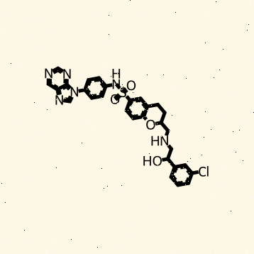 O=S(=O)(Nc1ccc(-n2cnc3cncnc32)cc1)c1ccc2c(c1)CCC(CNCC(O)c1cccc(Cl)c1)O2